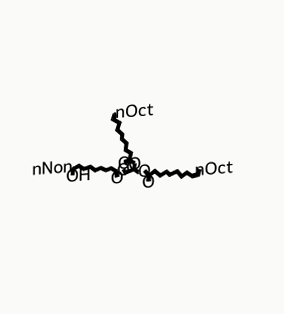 CCCCCCCC/C=C\CCCCCCCC(=O)OCC(COC(=O)CCCCCCCC(O)CCCCCCCCC)OC(=O)CCCCCCC/C=C\CCCCCCCC